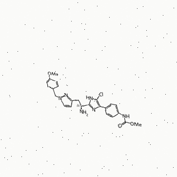 COC(=O)Nc1ccc(-c2nc([C@@H](N)Cc3ccn(Cc4ccc(OC)cc4)n3)[nH]c2Cl)cc1